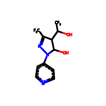 OC1C(C(O)C(F)(F)F)C(C(F)(F)F)=NN1c1ccncc1